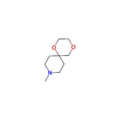 CN1CCC2(CC1)COCCO2